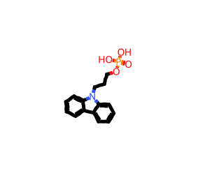 O=P(O)(O)OCCCn1c2ccccc2c2ccccc21